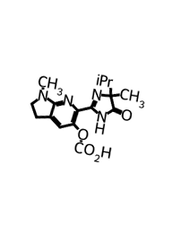 CC(C)C1(C)N=C(c2nc3c(cc2OC(=O)O)CCN3C)NC1=O